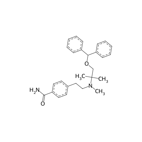 CN(CCc1ccc(C(N)=O)cc1)C(C)(C)COC(c1ccccc1)c1ccccc1